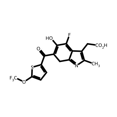 CC1=C(CC(=O)O)C2=C(F)C(O)=C(C(=O)c3ccc(OC(F)(F)F)s3)CC2=N1